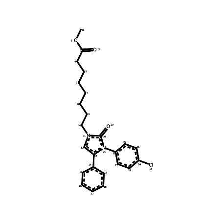 COC(=O)CCCCCCCn1cc(-c2ccccc2)n(-c2ccc(Cl)cc2)c1=O